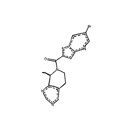 CC1c2ncncc2CCN1C(=O)c1cc2ncc(Br)cn2n1